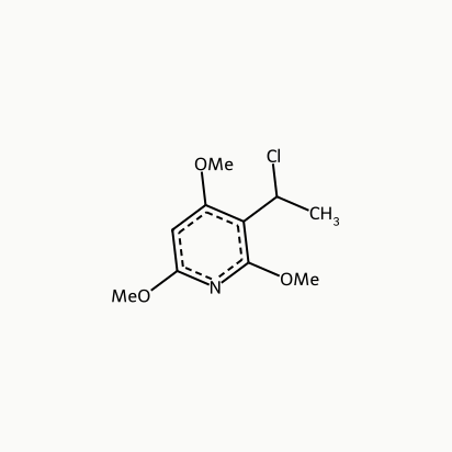 COc1cc(OC)c(C(C)Cl)c(OC)n1